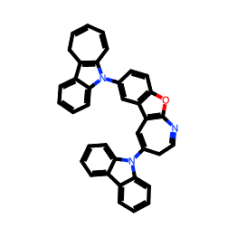 C1=CCc2c(n(-c3ccc4oc5c(c4c3)C=C(n3c4ccccc4c4ccccc43)CC=N5)c3ccccc23)C=C1